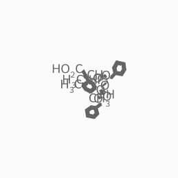 Cc1cc(C)c(C(C)(C)CC(=O)O)c(O[PH](=O)OCc2ccccc2)c1O[PH](=O)OCc1ccccc1